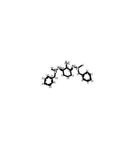 CC(=O)C1C(=NN(C)Cc2ccccc2)CCCC1=NN(C)Cc1ccccc1